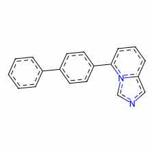 c1ccc(-c2ccc(-c3cccc4cncn34)cc2)cc1